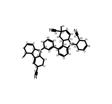 CC1CC=CC2C1C1=CC(C#N)CCC1N2C1C=C(c2cccc3c2C2CC(C)(C#N)C=CC2N3C2CC=CCC2C#N)C=CC1